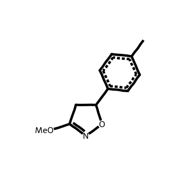 COC1=NOC(c2ccc(C)cc2)C1